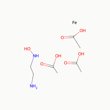 CC(=O)O.CC(=O)O.CC(=O)O.NCCNO.[Fe]